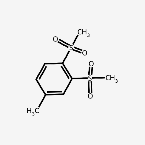 Cc1ccc(S(C)(=O)=O)c(S(C)(=O)=O)c1